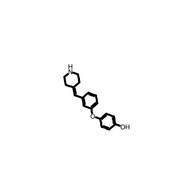 Oc1ccc(Oc2cccc(C=C3CCNCC3)c2)cc1